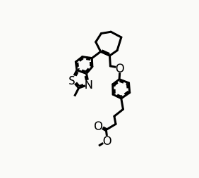 COC(=O)CCCc1ccc(OCC2=C(c3ccc4sc(C)nc4c3)CCCCC2)cc1